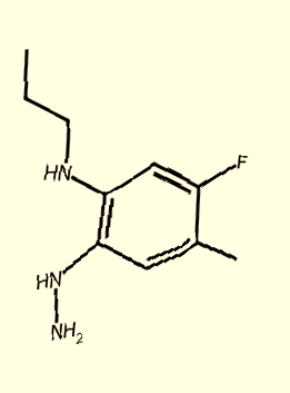 CCCNc1cc(F)c(C)cc1NN